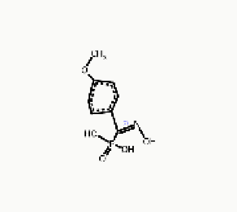 COc1ccc(/C(=N/O)P(=O)(O)O)cc1